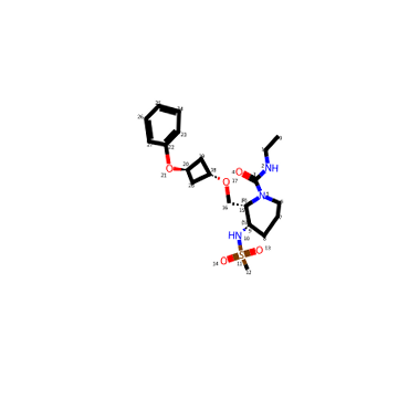 CCNC(=O)N1CCC[C@H](NS(C)(=O)=O)[C@@H]1CO[C@H]1C[C@H](Oc2ccccc2)C1